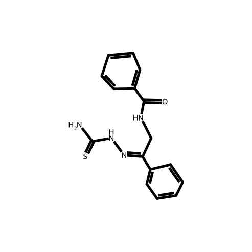 NC(=S)NN=C(CNC(=O)c1ccccc1)c1ccccc1